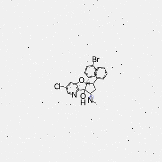 C/N=C1\CC(c2ccccc2)[C@]2(c3ccc(Br)cc3)Oc3cc(Cl)cnc3C12O